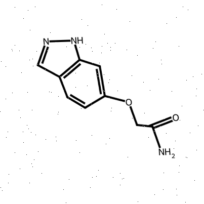 NC(=O)COc1ccc2cn[nH]c2c1